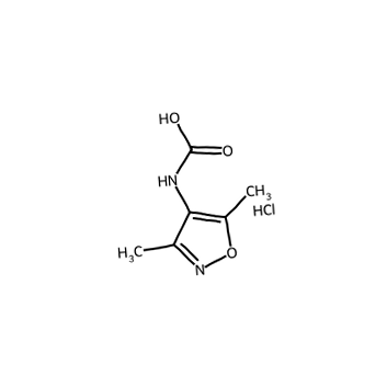 Cc1noc(C)c1NC(=O)O.Cl